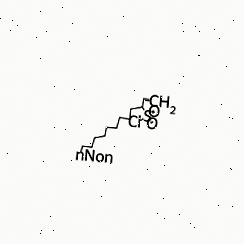 C=CC(CCCCCCCCCCCCCCCCCC)S(=O)(=O)Cl